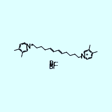 Cc1cc[n+](CCCCC=CC=CCCCC[n+]2ccc(C)c(C)c2)cc1C.[Br-].[Br-]